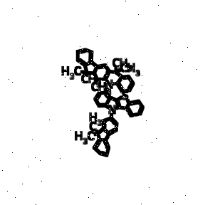 CC1C2=C(C=C3c4ccccc4C(C)(C)C31)C(C)(C)c1ccccc1N2c1cccc2c1c1sc3ccccc3c1n2-c1ccc2c(c1)C(C)(C)c1ccccc1-2